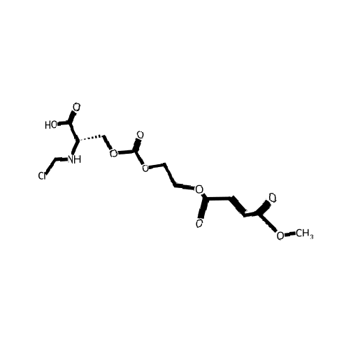 COC(=O)/C=C/C(=O)OCCOC(=O)OC[C@H](NCCl)C(=O)O